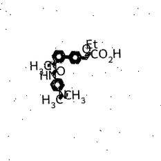 CCO/C(=C\c1ccc(-c2cccc(N(C)C(=O)Nc3ccc(N(C)C)cc3)c2)cc1)C(=O)O